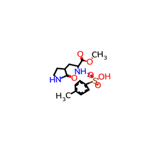 COC(=O)C(N)CC1CCNC1=O.Cc1ccc(S(=O)(=O)O)cc1